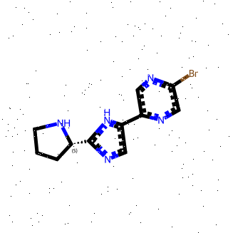 Brc1cnc(-c2cnc([C@@H]3CCCN3)[nH]2)cn1